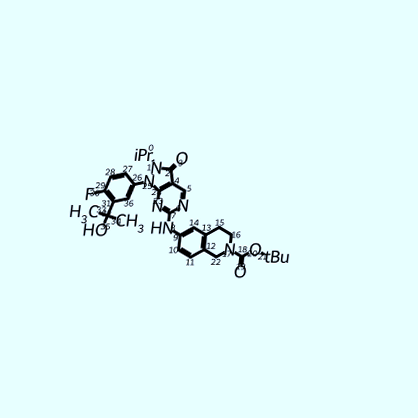 CC(C)n1c(=O)c2cnc(Nc3ccc4c(c3)CCN(C(=O)OC(C)(C)C)C4)nc2n1-c1ccc(F)c(C(C)(C)O)c1